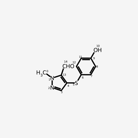 Cn1ncc(Sc2ccc(O)cc2)c1C=O